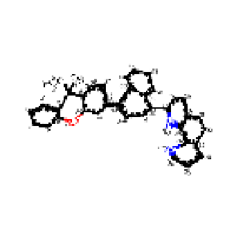 CC1(C)c2ccccc2Oc2cc(-c3ccc(-c4ccc5ccc6cccnc6c5n4)c4ccccc34)ccc21